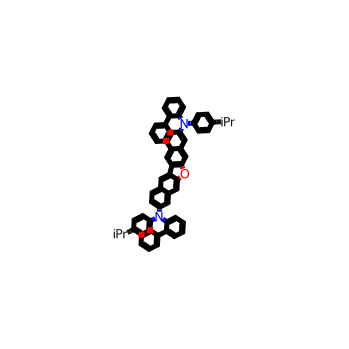 CC(C)c1ccc(N(c2ccc3cc4c(cc3c2)oc2cc3cc(N(c5ccc(C(C)C)cc5)c5ccccc5-c5ccccc5)ccc3cc24)c2ccccc2-c2ccccc2)cc1